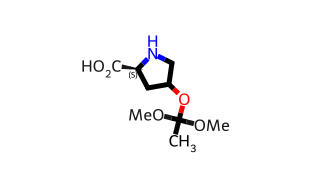 COC(C)(OC)OC1CN[C@H](C(=O)O)C1